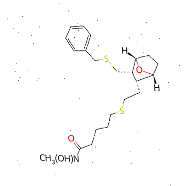 CN(O)C(=O)CCCCSCC[C@@H]1[C@H](CSCc2ccccc2)[C@@H]2CC[C@H]1O2